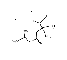 C=C(CC(N)C(=O)O)CC(N)(C(=O)O)C(F)F